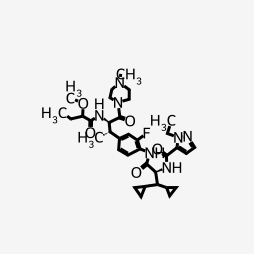 CCC(OC)C(=O)N[C@@H](C(=O)N1CCN(C)CC1)[C@@H](C)c1ccc(NC(=O)[C@@H](NC(=O)c2ccnn2CC)C(C2CC2)C2CC2)c(F)c1